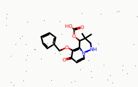 CC1(C)CNn2ccc(=O)c(OCc3ccccc3)c2C1OC(=O)O